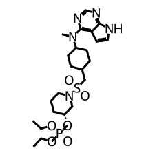 CCOP(=O)(OCC)O[C@@H]1CCCN(S(=O)(=O)CC2CCC(N(C)c3ncnc4[nH]ccc34)CC2)C1